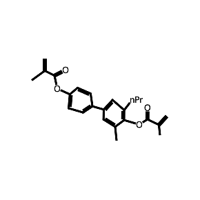 C=C(C)C(=O)Oc1ccc(-c2cc(C)c(OC(=O)C(=C)C)c(CCC)c2)cc1